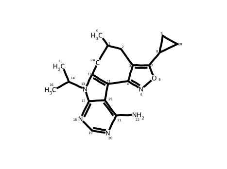 CC1Cc2c(noc2C2CC2)-c2c(n(C(C)C)c3ncnc(N)c23)C1